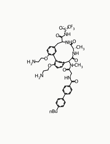 CCCCc1ccc(-c2ccc(C(=O)NCC(=O)N(C)C3C(=O)N[C@@H](C)C(=O)NC(C(=O)N[S+]([O-])C(F)(F)F)Cc4ccc(OCCN)c(c4)-c4cc3ccc4OCCN)cc2)cc1